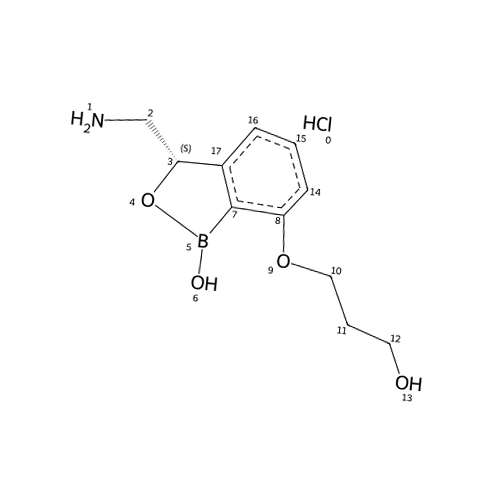 Cl.NC[C@H]1OB(O)c2c(OCCCO)cccc21